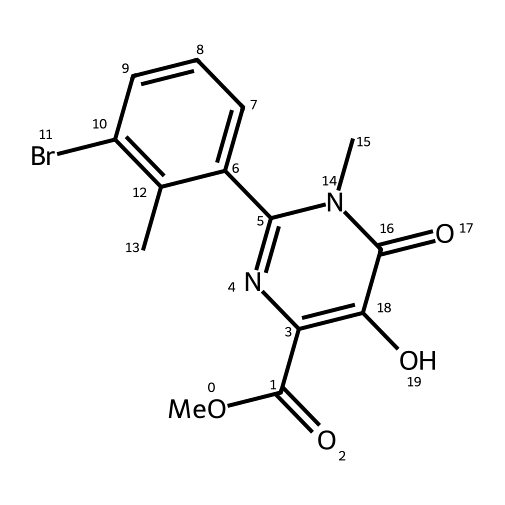 COC(=O)c1nc(-c2cccc(Br)c2C)n(C)c(=O)c1O